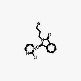 Clc1ncccn1.O=C1c2ccccc2C(=O)N1CCCBr